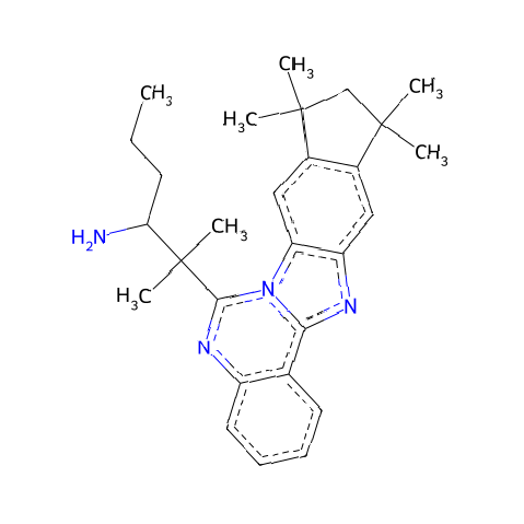 CCCC(N)C(C)(C)c1nc2ccccc2c2nc3cc4c(cc3n12)C(C)(C)CC4(C)C